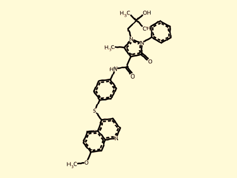 COc1ccc2c(Sc3ccc(NC(=O)c4c(C)n(CC(C)(C)O)n(-c5ccccc5)c4=O)cc3)ccnc2c1